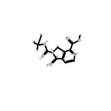 COC(=O)c1nccc2c1CN(C(=O)OC(C)(C)C)C2=O